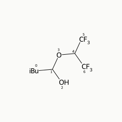 CCC(C)C(O)OC(C(F)(F)F)C(F)(F)F